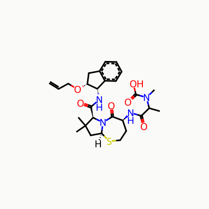 C=CCO[C@@H]1Cc2ccccc2[C@@H]1NC(=O)[C@H]1N2C(=O)[C@@H](NC(=O)C(C)N(C)C(=O)O)CCS[C@H]2CC1(C)C